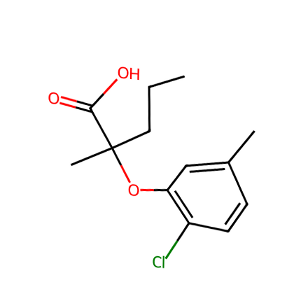 CCCC(C)(Oc1cc(C)ccc1Cl)C(=O)O